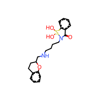 O=C1c2ccccc2S(O)(O)N1CCCCNCC1CCc2ccccc2O1